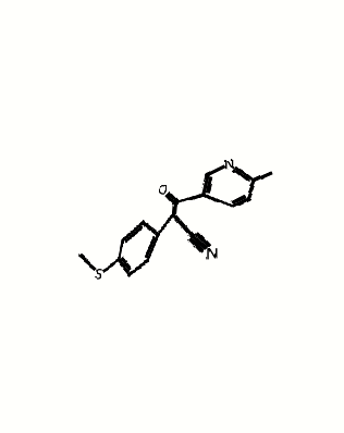 CSc1ccc(C(C#N)C(=O)c2ccc(C)nc2)cc1